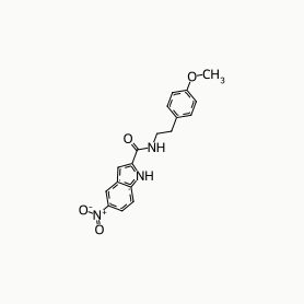 COc1ccc(CCNC(=O)c2cc3cc([N+](=O)[O-])ccc3[nH]2)cc1